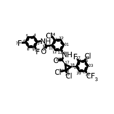 O=C(Nc1ccc(F)cc1F)c1cc(NC(=O)[C@H]2[C@@H](c3cc(C(F)(F)F)cc(Cl)c3F)C2(Cl)Cl)ccc1Cl